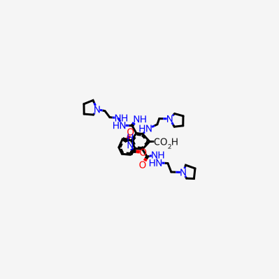 N=C(NNCCN1CCCC1)c1c(NCCN2CCCC2)c(C(=O)O)c(C(=O)NNCCN2CCCC2)c2c3ccc(c(=O)[nH]c3=O)c12